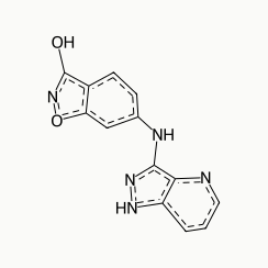 Oc1noc2cc(Nc3n[nH]c4cccnc34)ccc12